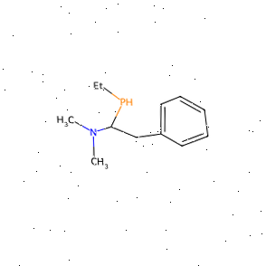 CCPC(Cc1ccccc1)N(C)C